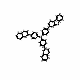 c1ccc2nc(-c3ccc(N(c4ccc(-c5ccc6ccccc6n5)cc4)c4ccc(-c5ccc6c(n5)sc5ccccc56)cc4)cc3)ccc2c1